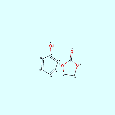 O=C1OCCO1.Oc1ccccc1